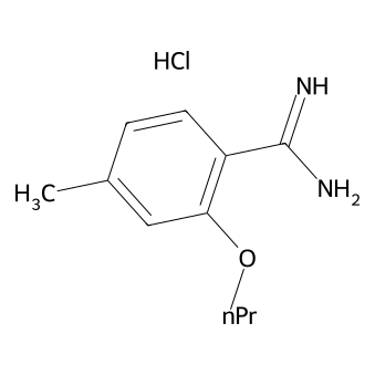 CCCOc1cc(C)ccc1C(=N)N.Cl